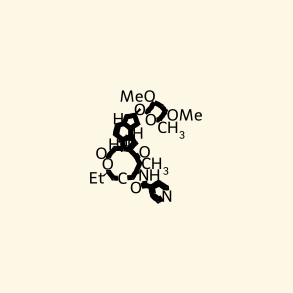 CC[C@H]1CCC[C@H](NC(=O)c2ccncc2)[C@@H](C)C(=O)C2=C[C@@H]3[C@@H](C=C[C@@H]4C[C@@H](OC5OC(C)C(OC)CC5OC)C[C@@H]34)[C@@H]2CC(=O)O1